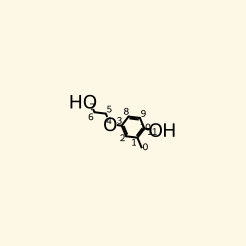 Cc1cc(OCCO)ccc1O